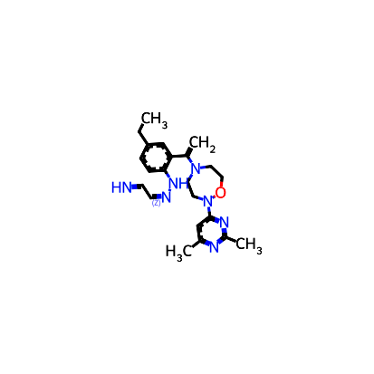 C=C(c1cc(CC)ccc1N/N=C\C=N)N1CCON(c2cc(C)nc(C)n2)CC1